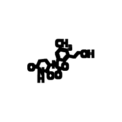 Cc1cc(CCO)c2oc(=O)n(C3CCC(=O)NC3=O)c2c1